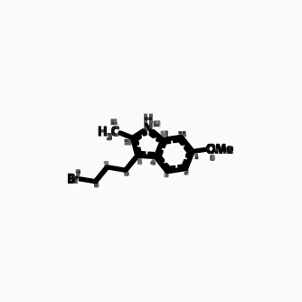 COc1ccc2c(CCCBr)c(C)[nH]c2c1